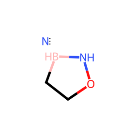 B1CCON1.[N]